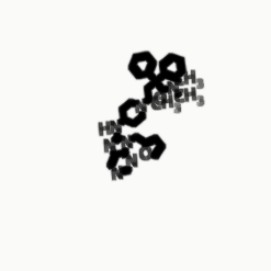 CC(CC(C(=O)N(C)C)(c1ccccc1)c1ccccc1)N1CCC(Nc2nc3cncnc3n2Cc2ccco2)CC1